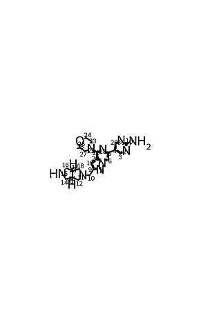 Nc1ncc(-c2cn3nc(CN4C[C@H]5CNC[C@H]5C4)cc3c(N3CCOCC3)n2)cn1